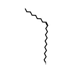 CCCCCCCC/C=C\CCCCCCCCCCCI